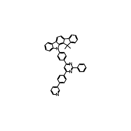 CC1(C)c2ccccc2-c2ccc3c4ccccc4n(-c4ccc(-c5cc(-c6ccc(-c7cccnc7)cc6)nc(-c6ccccc6)n5)cc4)c3c21